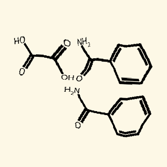 NC(=O)c1ccccc1.NC(=O)c1ccccc1.O=C(O)C(=O)O